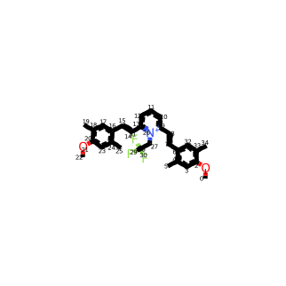 COc1cc(C)c(/C=C/c2cccc(/C=C/c3cc(C)c(OC)cc3C)[n+]2CC(F)(F)F)cc1C